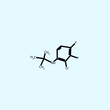 CC(C)(C)Nc1ccc(F)c(F)c1Cl